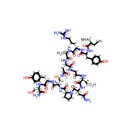 CC(=O)N[C@@H](CC(C)C)C(=O)N[C@@H](Cc1ccc(O)cc1)C(=O)N[C@@H](CCCNC(=N)N)C(=O)N[C@@H](C)C(=O)N[C@@H](CC(N)=O)C(=O)NCC(=O)N[C@@H](CC(=O)O)C(=O)N[C@@H](CC(N)=O)C(=O)N1CCC[C@H]1C(=O)N[C@@H](CS)C(=O)N[C@@H](Cc1ccc(O)cc1)C(=O)N[C@@H](CO)C(N)=O